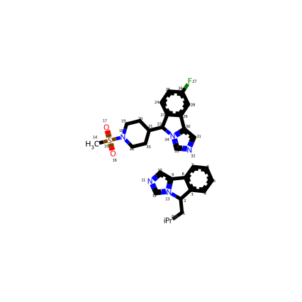 CC(C)CC1c2ccccc2-c2cncn21.CS(=O)(=O)N1CCC(C2c3ccc(F)cc3-c3cncn32)CC1